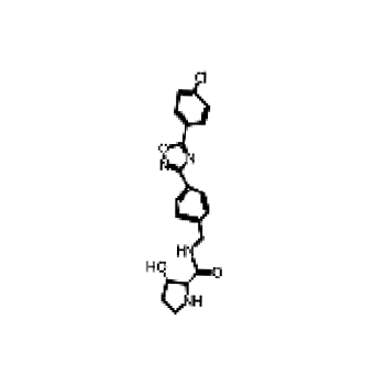 O=C(NCc1ccc(-c2noc(-c3ccc(Cl)cc3)n2)cc1)[C@H]1NCC[C@@H]1O